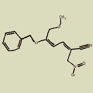 COC/C(=C\C=C(\C#N)C[N+](=O)[O-])OCc1ccccc1